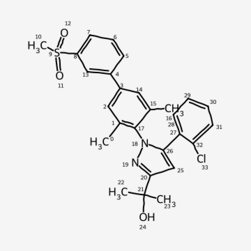 Cc1cc(-c2cccc(S(C)(=O)=O)c2)cc(C)c1-n1nc(C(C)(C)O)cc1-c1ccccc1Cl